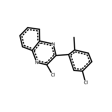 Cc1ccc(Cl)cc1-c1nc2ccccc2nc1Cl